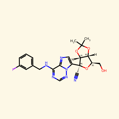 CC1(C)O[C@H]2[C@@H](O1)[C@](C#N)(c1cnc3c(NCc4cccc(I)c4)ncnn13)O[C@@H]2CO